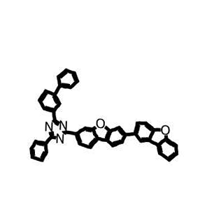 c1ccc(-c2cccc(-c3nc(-c4ccccc4)nc(-c4ccc5c(c4)oc4cc(-c6ccc7oc8ccccc8c7c6)ccc45)n3)c2)cc1